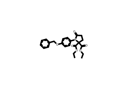 CCOC(=O)C1(C(=O)OCC)CCC(=O)N1c1ccc(OCc2ccccc2)cc1